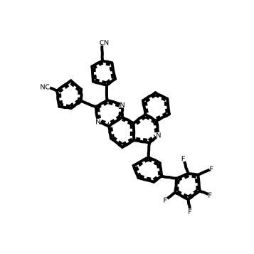 N#Cc1ccc(-c2nc3ccc4c(-c5cccc(-c6c(F)c(F)c(F)c(F)c6F)c5)nc5ccccc5c4c3nc2-c2ccc(C#N)cc2)cc1